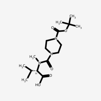 CC(C)[C@@H](C(=O)O)N(C)C(=O)N1CCN(C(=O)OC(C)(C)C)CC1